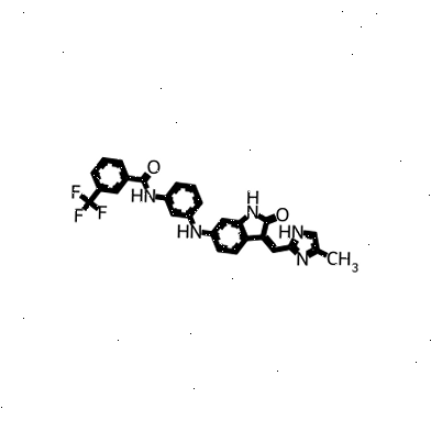 Cc1c[nH]c(C=C2C(=O)Nc3cc(Nc4cccc(NC(=O)c5cccc(C(F)(F)F)c5)c4)ccc32)n1